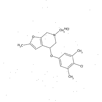 Cc1cc2c(o1)CN(C)CC2Oc1cc(C)c(Cl)c(C)c1.Cl